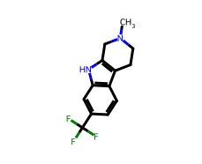 CN1CCc2c([nH]c3cc(C(F)(F)F)ccc23)C1